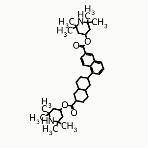 CC1(C)CC(OC(=O)c2ccc3c(C4CCC5CC(C(=O)OC6CC(C)(C)NC(C)(C)C6)CCC5C4)cccc3c2)CC(C)(C)N1